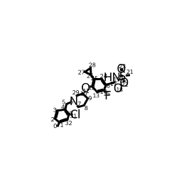 Cc1ccc(CN2CCC[C@@H](Oc3cc(F)c(C(=O)NS(C)(=O)=O)cc3C3CC3)C2)c(Cl)c1